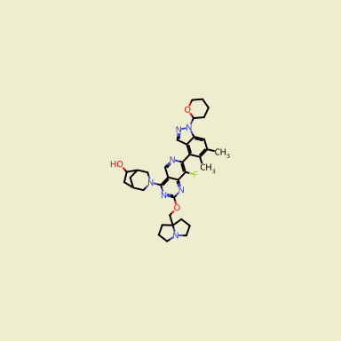 Cc1cc2c(cnn2C2CCCCO2)c(-c2ncc3c(N4CC5CC(O)C(C5)C4)nc(OCC45CCCN4CCC5)nc3c2F)c1C